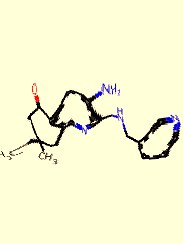 CC1(C)CC(=O)c2cc(N)c(NCc3cccnc3)nc2C1